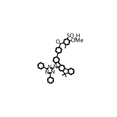 COc1cc(C)c(C(=O)c2ccc(-c3ccc4c(c3)c3cc5c(cc3n4-c3nc(-c4ccccc4)nc(-c4ccccc4)n3)C(C)(C)c3ccccc3-5)cc2)cc1S(=O)(=O)O